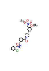 CC(C)(C)OC(=O)N(Cc1cccc(C2CCN(C(=O)c3cccc(-c4nnc(-c5ccccc5Cl)o4)c3)CC2)c1)C(=O)OC(C)(C)C